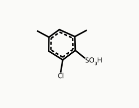 Cc1cc(C)c(S(=O)(=O)O)c(Cl)c1